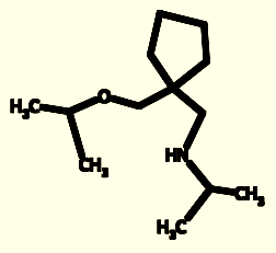 CC(C)NCC1(COC(C)C)CCCC1